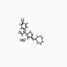 Br.CN1C(=NC2CCCCCC2)SCC1N(C=O)c1ccc(Cl)cc1